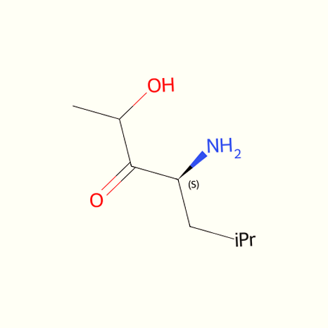 CC(C)C[C@H](N)C(=O)C(C)O